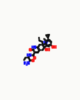 CCCC1(c2cc(O)ccc2C)Cc2[nH]c(=O)c(C(=O)NC(CC)C(N)=O)cc2CC1(O)C(C)NCC1CC1